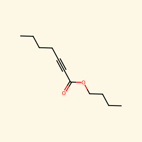 CCCCC#CC(=O)OCCCC